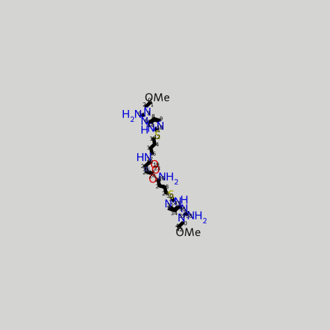 COCCN=C(N)Nc1ccnc(SCCCCNC(=O)/C=C\C(=O)OC(N)CCCSc2nccc(NC(N)=NCCOC)n2)n1